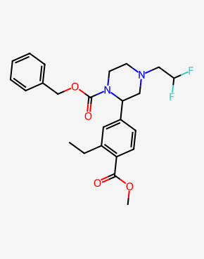 CCc1cc(C2CN(CC(F)F)CCN2C(=O)OCc2ccccc2)ccc1C(=O)OC